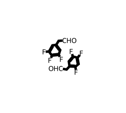 O=CCc1cc(F)c(F)c(F)c1.O=CCc1cc(F)c(F)cc1F